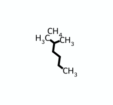 C.CCCCC(C)C